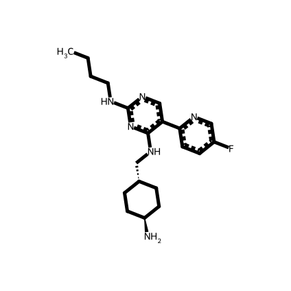 CCCCNc1ncc(-c2ccc(F)cn2)c(NC[C@H]2CC[C@H](N)CC2)n1